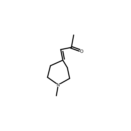 CC(=O)C=C1CCN(C)CC1